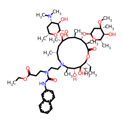 CCOC(=O)CCN(CCN1C[C@H](C)C[C@@](C)(O)[C@H](O[C@@H]2O[C@H](C)C[C@H](N(C)C)[C@H]2O)[C@@H](C)[C@H](O[C@H]2C[C@@](C)(OC)[C@@H](O)[C@H](C)O2)[C@@H](C)C(=O)O[C@H](CC)[C@@](C)(O)[C@H](O)[C@H]1C)C(=O)Nc1ccc2ccccc2c1